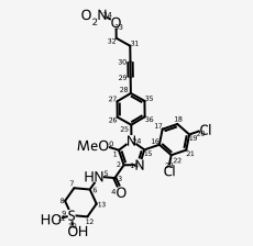 COc1c(C(=O)NC2CCS(O)(O)CC2)nc(-c2ccc(Cl)cc2Cl)n1-c1ccc(C#CCCO[N+](=O)[O-])cc1